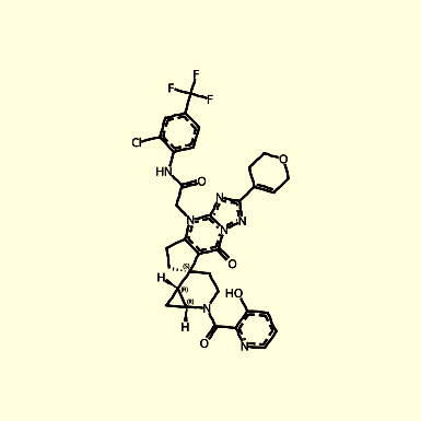 O=C(Cn1c2c(c(=O)n3nc(C4=CCOCC4)nc13)[C@@]1(CC2)CCN(C(=O)c2ncccc2O)[C@@H]2C[C@@H]21)Nc1ccc(C(F)(F)F)cc1Cl